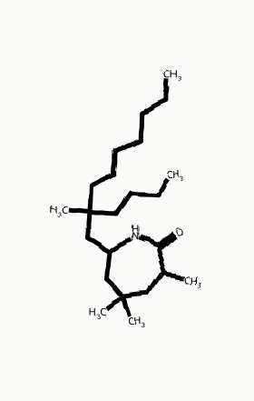 CCCCCCCC(C)(CCCC)CC1CC(C)(C)CC(C)C(=O)N1